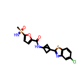 CS(=N)(=O)c1ccc(C(=O)NC23CC(c4nc5cc(Cl)ccc5s4)(C2)C3)o1